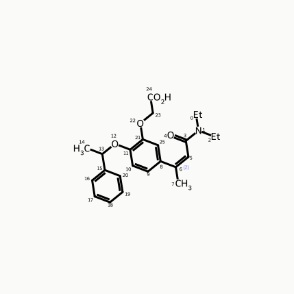 CCN(CC)C(=O)/C=C(/C)c1ccc(OC(C)c2ccccc2)c(OCC(=O)O)c1